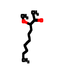 CCCCCCCC(OC)C(C)=O